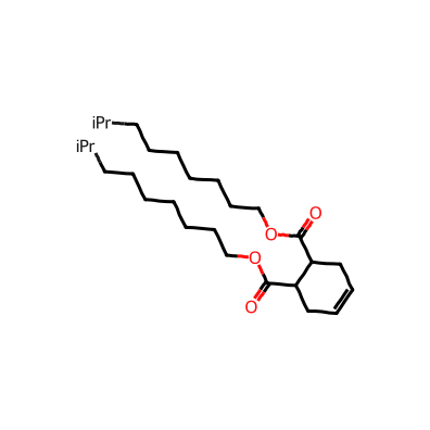 CC(C)CCCCCCCOC(=O)C1CC=CCC1C(=O)OCCCCCCCC(C)C